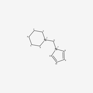 [CH](N1CCCCC1)n1cccc1